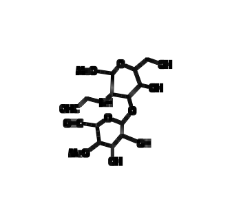 COC1OC(CO)C(O)C(OC2OC(C=O)C(OC)C(O)C2O)C1NCC=O